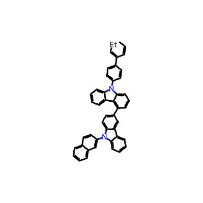 C/C=C\C(=C/CC)c1ccc(-n2c3ccccc3c3c(-c4ccc5c(c4)c4ccccc4n5-c4ccc5ccccc5c4)cccc32)cc1